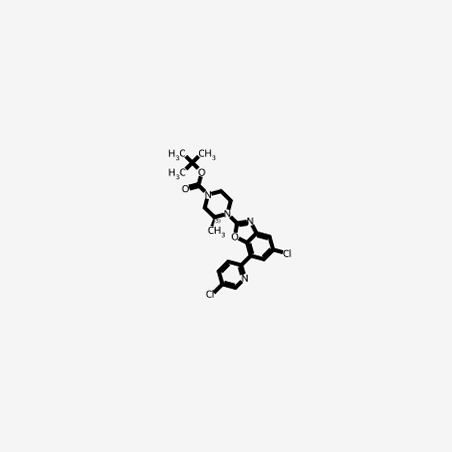 C[C@H]1CN(C(=O)OC(C)(C)C)CCN1c1nc2cc(Cl)cc(-c3ccc(Cl)cn3)c2o1